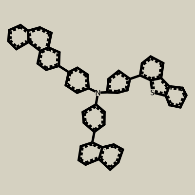 c1ccc2c(-c3ccc(N(c4ccc(-c5ccc6c(ccc7ccccc76)c5)cc4)c4ccc(-c5cccc6c5sc5ccccc56)cc4)cc3)cccc2c1